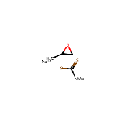 CC1CO1.CNC(=S)[S-].[Na+]